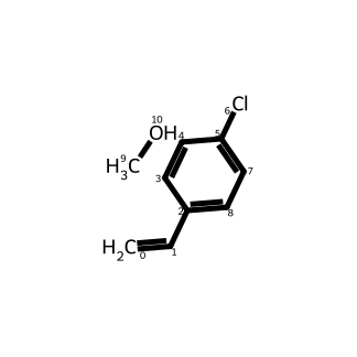 C=Cc1ccc(Cl)cc1.CO